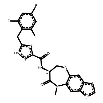 CN1C(=O)[C@@H](NC(=O)c2n[nH]c(Cc3c(F)cc(F)cc3F)n2)COc2cc3ncoc3cc21